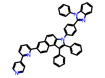 c1ccc(-c2c(-c3ccccc3)n(-c3ccc(-c4nc5ccccc5n4-c4ccccc4)cc3)c3ccc4cc(-c5cccc(-c6ccncc6)n5)ccc4c23)cc1